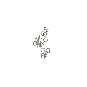 CN(C(=O)N1CC(C)(c2ccccc2)C(c2ccc(C(F)(F)F)c(Cl)c2)=N1)c1ccc(OC(F)(F)F)cc1